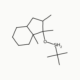 CC1CC2CCCCC2(C)C1(C)O[SiH2]C(C)(C)C